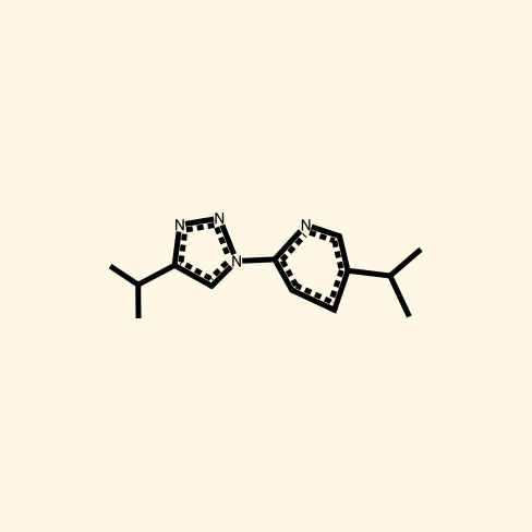 CC(C)c1ccc(-n2cc(C(C)C)nn2)nc1